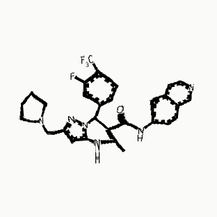 CC1=C(C(=O)Nc2ccc3cnccc3c2)C(c2ccc(C(F)(F)F)c(F)c2)n2nc(CN3CCCC3)cc2N1